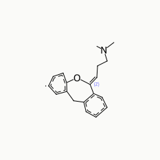 CN(C)CC/C=C1\Oc2cc[c]cc2Cc2ccccc21